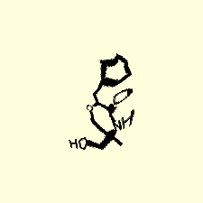 CC1(CO)COC(Cc2ccccc2)C(=O)N1